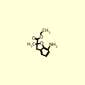 CCOC(=O)C1(C)Cc2cccc(N)c2O1